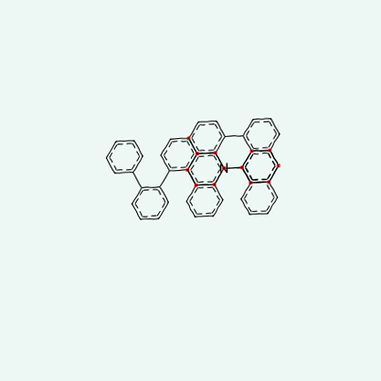 c1ccc(-c2ccccc2-c2ccccc2-c2ccccc2N(c2ccccc2-c2cccc3cccc(-c4ccccc4)c23)c2cccc3ccccc23)cc1